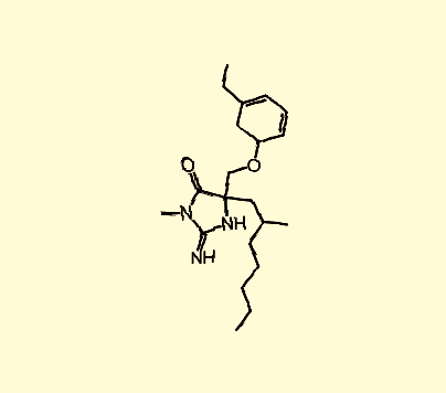 CCCCCC(C)CC1(COC2C=CC=C(CC)C2)NC(=N)N(C)C1=O